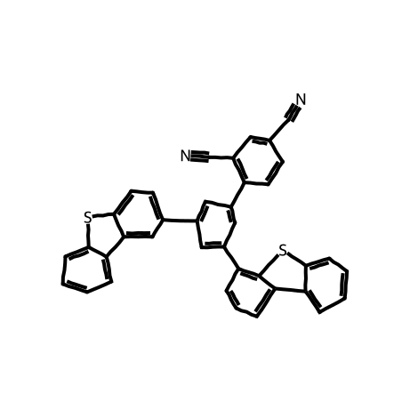 N#Cc1ccc(-c2cc(-c3ccc4sc5ccccc5c4c3)cc(-c3cccc4c3sc3ccccc34)c2)c(C#N)c1